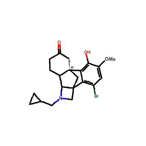 COc1cc(Br)c2c(c1O)[C@]13CC(=O)CCC1C1N(CC4CC4)CC21C3